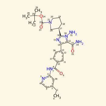 CCc1ccnc(NC(=O)c2ccc(-c3nc([C@@H]4CCCN(C(=O)OC(C)(C)C)C4)n(N)c3C(N)=O)cc2)c1